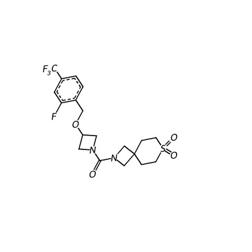 O=C(N1CC(OCc2ccc(C(F)(F)F)cc2F)C1)N1CC2(CCS(=O)(=O)CC2)C1